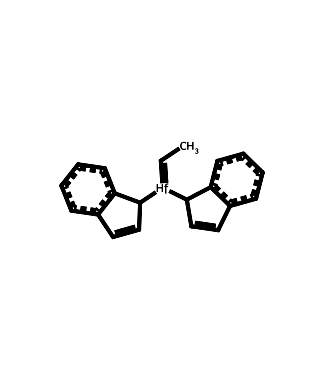 C[CH]=[Hf]([CH]1C=Cc2ccccc21)[CH]1C=Cc2ccccc21